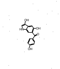 O=C(c1ccc(O)cc1)c1cc2[nH]cc(O)c2cc1O